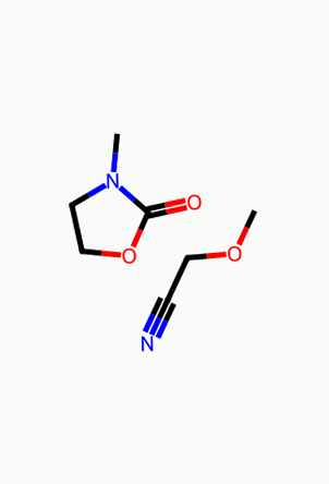 CN1CCOC1=O.COCC#N